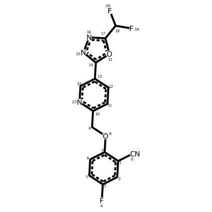 N#Cc1cc(F)ccc1OCc1ccc(-c2nnc(C(F)F)o2)cn1